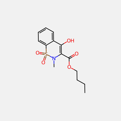 CCCCOC(=O)C1=C(O)c2ccccc2S(=O)(=O)N1C